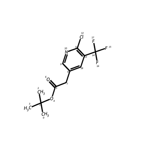 CC(C)(C)OC(=O)Cc1cnc(Cl)c(C(F)(F)F)c1